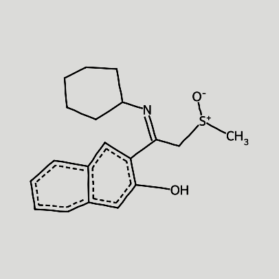 C[S+]([O-])CC(=NC1CCCCC1)c1cc2ccccc2cc1O